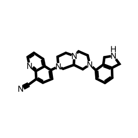 N#Cc1ccc(N2CCN3CCN(c4cccc5c4CNC5)CC3C2)c2cccnc12